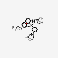 C[C@@H]1CN(c2cccc(C3(Cc4cccc(OC(F)(F)F)c4)CN(C[C@@H](O)CF)c4ccccc43)c2)CCO1